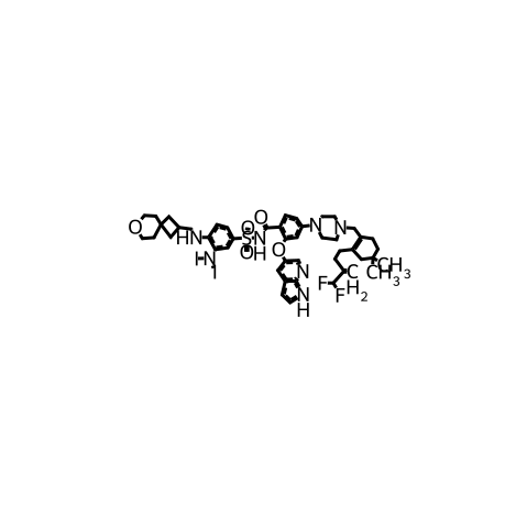 C=C(CCC1=C(CN2CCN(c3ccc(C(=O)NS(=O)(=O)c4ccc(NCC5CC6(CCOCC6)C5)c(N(I)I)c4)c(Oc4cnc5[nH]ccc5c4)c3)CC2)CCC(C)(C)C1)C(F)F